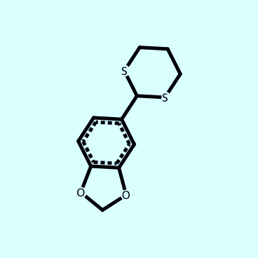 c1cc2c(cc1C1SCCCS1)OCO2